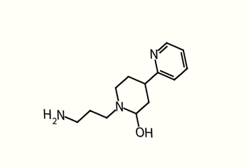 NCCCN1CCC(c2ccccn2)CC1O